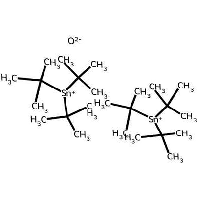 C[C](C)(C)[Sn+]([C](C)(C)C)[C](C)(C)C.C[C](C)(C)[Sn+]([C](C)(C)C)[C](C)(C)C.[O-2]